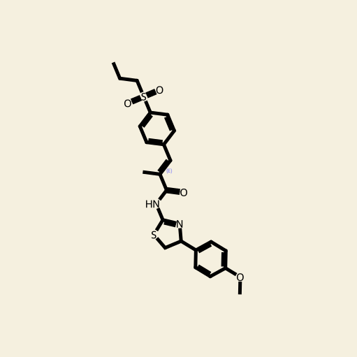 CCCS(=O)(=O)c1ccc(/C=C(\C)C(=O)NC2=NC(c3ccc(OC)cc3)CS2)cc1